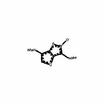 CNc1coc2c(NC)[n+]([O-])oc12